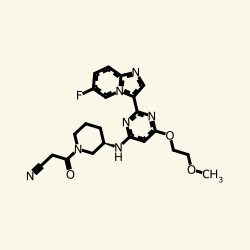 COCCOc1cc(N[C@@H]2CCCN(C(=O)CC#N)C2)nc(-c2cnc3ccc(F)cn23)n1